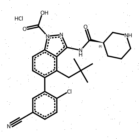 CC(C)(C)Cc1c(-c2cc(C#N)ccc2Cl)ccc2c1c(NC(=O)[C@@H]1CCCNC1)nn2C(=O)O.Cl